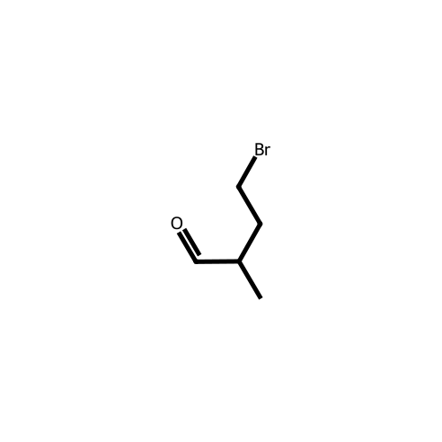 CC(C=O)CCBr